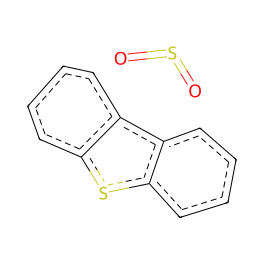 O=S=O.c1ccc2c(c1)sc1ccccc12